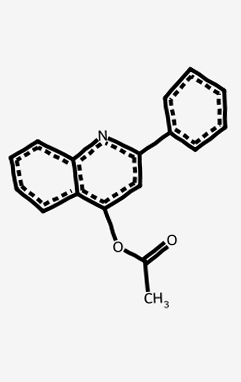 CC(=O)Oc1cc(-c2ccccc2)nc2ccccc12